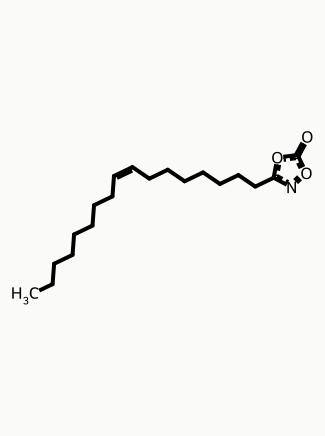 CCCCCCCC/C=C\CCCCCCCc1noc(=O)o1